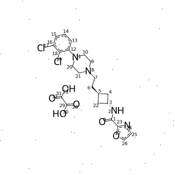 O=C(N[C@H]1C[C@H](CCN2CCN(c3cccc(Cl)c3Cl)CC2)C1)c1ncco1.O=C(O)C(=O)O